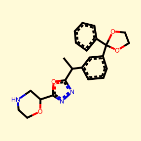 CC(c1cccc(C2(c3ccccc3)OCCO2)c1)c1nnc(C2CNCCO2)o1